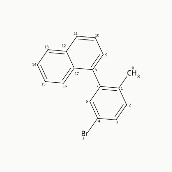 Cc1ccc(Br)cc1-c1cccc2ccccc12